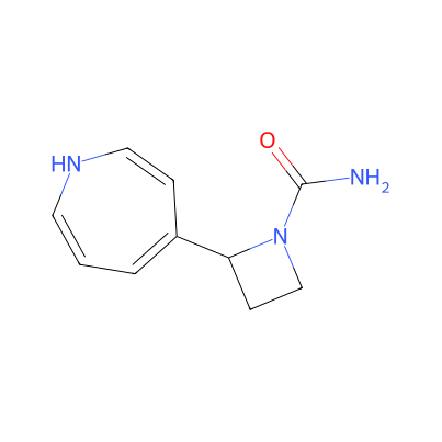 NC(=O)N1CCC1C1=CC=CNC=C1